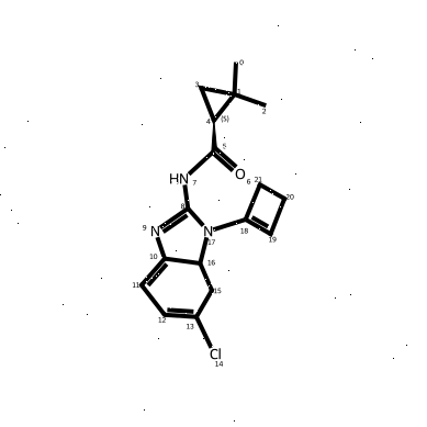 CC1(C)C[C@@H]1C(=O)NC1=NC2=CC=C(Cl)CC2N1C1=CCC1